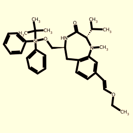 CCO/C=C/c1ccc2c(c1)N(C)[C@@H](C(C)C)C(=O)N[C@H](CO[Si](c1ccccc1)(c1ccccc1)C(C)(C)C)C2